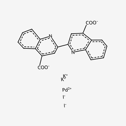 O=C([O-])c1cc(-c2cc(C(=O)[O-])c3ccccc3n2)nc2ccccc12.[I-].[I-].[K+].[K+].[Pd+2]